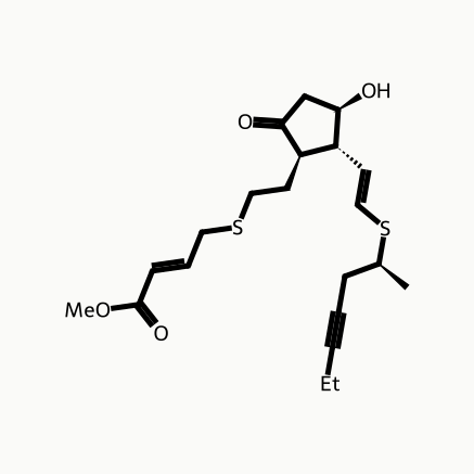 CCC#CC[C@H](C)S/C=C/[C@H]1[C@H](O)CC(=O)[C@@H]1CCSC/C=C/C(=O)OC